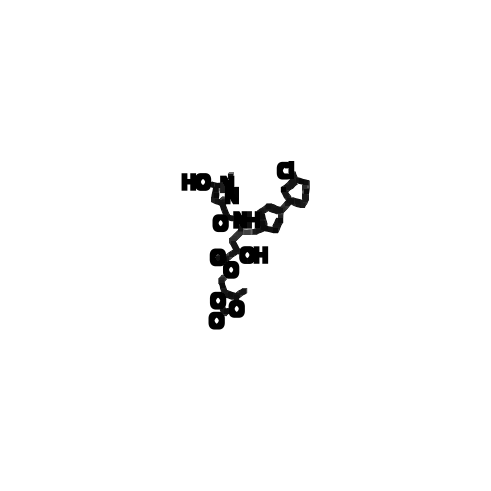 Cc1oc(=O)oc1COC(=O)C(O)CC(Cc1ccc(-c2cccc(Cl)c2)cc1)NC(=O)c1cc(O)n(C)n1